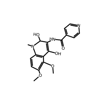 COc1ccc2c(c1OC)C(O)=C(NC(=O)c1ccncc1)C(O)N2C